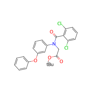 CC(C)(C)OC(=O)CN(C(=O)c1c(Cl)cccc1Cl)c1cccc(Oc2ccccc2)c1